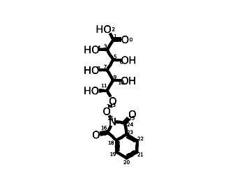 O=C(O)C(O)C(O)C(O)C(O)C(O)OON1C(=O)c2ccccc2C1=O